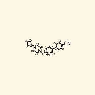 N#Cc1ccc(-c2ccc(CN3CCN(C4CCC4)CC3)nc2)cc1